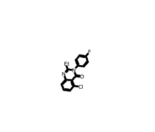 CCc1nc2cccc(Cl)c2c(=O)n1-c1ccc(F)cc1